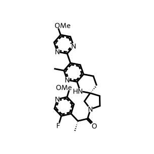 COc1cnc(-c2cc3c(nc2C)N[C@@]2(CC3)CCN(C(=O)[C@H](C)c3cc(OC)ncc3F)C2)nc1